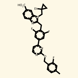 CCC1(Cn2c(Cc3c(F)cc(-c4ccnc(OCc5ccc(C)cc5F)n4)cc3F)nc3ccc(C(=O)O)cc32)CC1